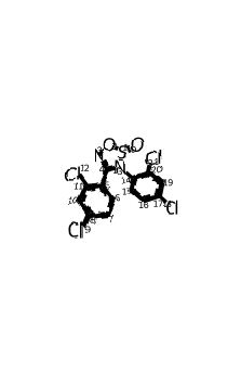 O=S1ON=C(c2ccc(Cl)cc2Cl)N1c1ccc(Cl)cc1Cl